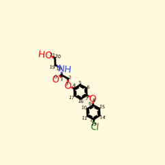 O=C(COc1ccc(Oc2ccc(Cl)cc2)cc1)NCCO